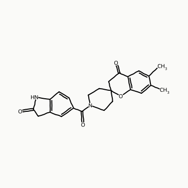 Cc1cc2c(cc1C)C(=O)CC1(CCN(C(=O)c3ccc4c(c3)CC(=O)N4)CC1)O2